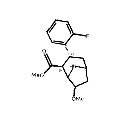 COC(=O)[C@@H]1C2NC(CC2OC)C[C@H]1c1ccccc1F